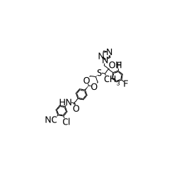 C[C@@H](S[C@H]1CO[C@H](c2ccc(C(=O)Nc3ccc(C#N)c(Cl)c3)cc2)OC1)[C@](O)(Cn1cncn1)c1ccc(F)cc1F